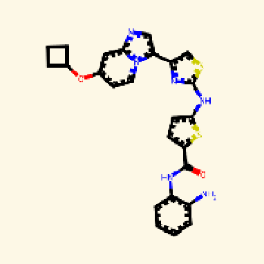 Nc1ccccc1NC(=O)c1ccc(Nc2nc(-c3cnc4cc(OC5CCC5)ccn34)cs2)s1